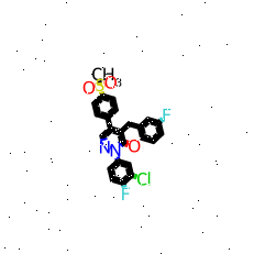 CS(=O)(=O)c1ccc(-c2cnn(-c3ccc(F)c(Cl)c3)c(=O)c2Cc2cccc(F)c2)cc1